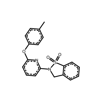 Cc1ccc(Oc2cccc(N3Cc4ccccc4S3(=O)=O)n2)cc1